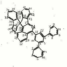 c1ccc(-c2cc(-c3ccccc3)cc(-c3nc4c(c5ccccc35)C3(c5ccccc5-c5ccccc53)c3ccccc3-4)c2)cc1